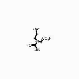 CCC(=O)N(CCC(C)=O)CC(=O)O